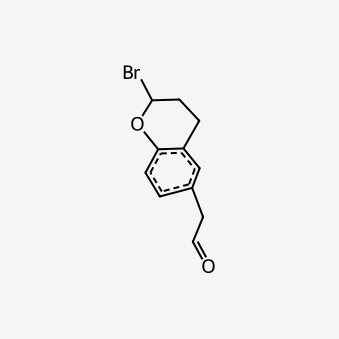 O=CCc1ccc2c(c1)CCC(Br)O2